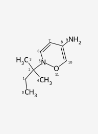 CCC(C)(C)N1C=CC(N)=CO1